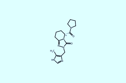 Cc1[nH]cnc1Cn1nc2n(c1=O)[C@@H](C(=O)N1CCCC1)CCC2